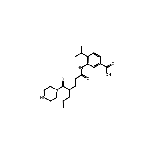 CCCC(CCC(=O)Nc1cc(C(=O)O)ccc1C(C)C)C(=O)N1CCNCC1